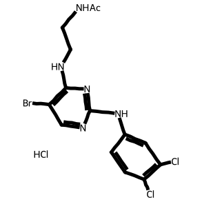 CC(=O)NCCNc1nc(Nc2ccc(Cl)c(Cl)c2)ncc1Br.Cl